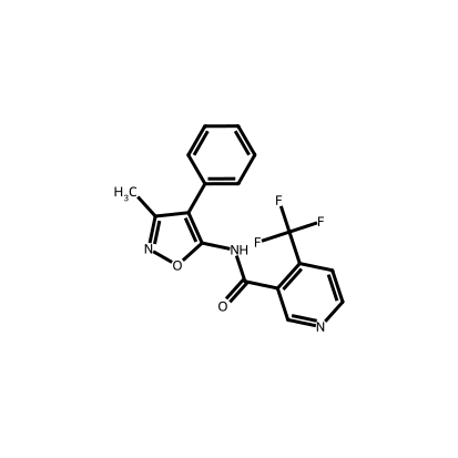 Cc1noc(NC(=O)c2cnccc2C(F)(F)F)c1-c1ccccc1